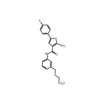 Cc1oc(-c2ccc(F)cc2)cc1C(=O)Nc1cccc(CSCC(=O)O)c1